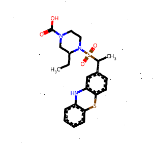 CCC1CN(C(=O)O)CCN1S(=O)(=O)C(C)c1ccc2c(c1)Nc1ccccc1S2